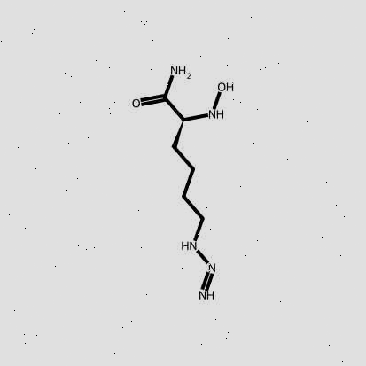 N=NNCCCC[C@H](NO)C(N)=O